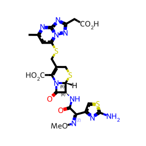 CO/N=C(\C(=O)N[C@@H]1C(=O)N2C(C(=O)O)=C(CSc3cc(C)nc4nc(CC(=O)O)nn34)CS[C@H]12)c1csc(N)n1